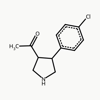 CC(=O)C1CNCC1c1ccc(Cl)cc1